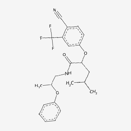 CC(C)CC(Oc1ccc(C#N)c(C(F)(F)F)c1)C(=O)NCC(C)Oc1ccccc1